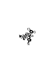 CC(C)(C)OC(=O)[C@@H]1CCCN1S(=O)(=O)c1cnc2n1[C@](C)(Cc1ccc(C#N)cc1)C(=O)N2c1cc(Cl)cc(Cl)c1